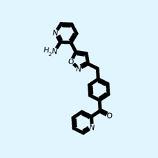 Nc1ncccc1-c1cc(Cc2ccc(C(=O)c3ccccn3)cc2)no1